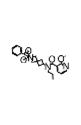 CCCN(C(=O)c1cccnc1OC)C1CC2(C1)CN(S(=O)(=O)c1ccccc1)C2